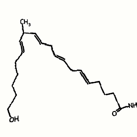 CC(C=CCC=CCC=CCCCC(N)=O)C=CCCCCCO